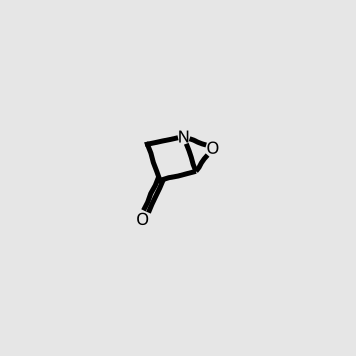 O=C1CN2OC12